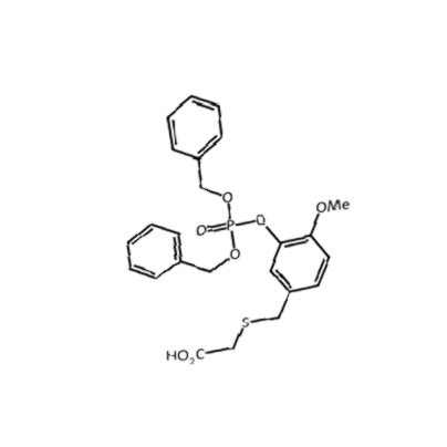 COc1ccc(CSCC(=O)O)cc1OP(=O)(OCc1ccccc1)OCc1ccccc1